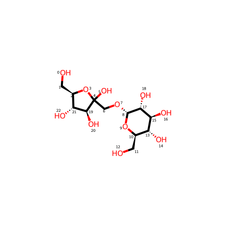 OC[C@H]1OC(O)(CO[C@H]2O[C@H](CO)[C@@H](O)[C@H](O)[C@H]2O)[C@@H](O)[C@@H]1O